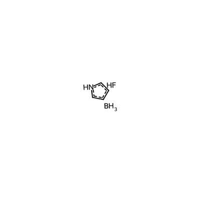 B.F.c1cc[nH]c1